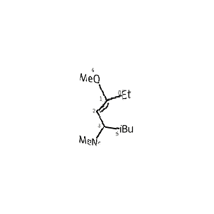 CC/C(=C\C(NC)C(C)CC)OC